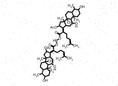 CC(=O)OC1CC2(C)C(CC(O)C3C4(C)CCC(O)C(C)C4CCC32C)/C1=C(\CCC=C(C)C)C(=O)OBOC(=O)/C(CCC=C(C)C)=C1\C(OC(C)=O)CC2(C)C1CC(O)C1C3(C)CCC(O)C(C)C3CCC12C